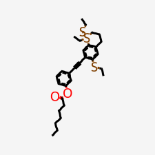 CCCCCCC(=O)Oc1cccc(C#Cc2cc3c(cc2SCC)CCCS3(CC)SCC)c1